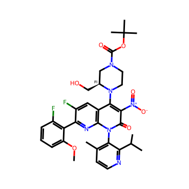 COc1cccc(F)c1-c1nc2c(cc1F)c(N1CCN(C(=O)OC(C)(C)C)C[C@@H]1CO)c([N+](=O)[O-])c(=O)n2-c1c(C)ccnc1C(C)C